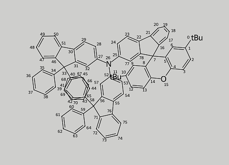 CC(C)(C)c1ccc2c(c1)C1(c3cc(C(C)(C)C)ccc3O2)c2ccccc2-c2ccc(N(c3ccc4c(c3)C(c3ccccc3)(c3ccccc3)c3ccccc3-4)c3ccc4c(c3)C(c3ccccc3)(c3ccccc3)c3ccccc3-4)cc21